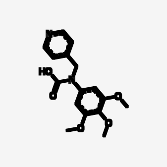 COc1cc(N(Cc2ccncc2)C(=O)O)cc(OC)c1OC